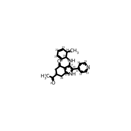 CC(=O)C1CC(=O)c2c([nH]c(-c3ccncc3)c2NC2C=CC=CC2C)C1